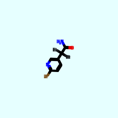 CCC(CC)(C(N)=O)c1ccc(Br)nc1